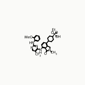 CCOP(=O)(O)C1CCC(c2ccc(Nc3nc(Nc4ccccc4OC)ncc3C(F)(F)F)c3c2CN(C)C3=O)CC1